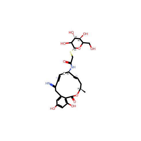 C[C@@H]1C/C=C/[C@H](NC(=O)CS[C@H]2OC(CO)[C@H](O)[C@@H](O)C2O)C/C=C/C(=N)Cc2cc(O)cc(O)c2C(=O)O1